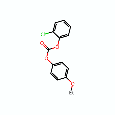 CCOc1ccc(OC(=O)Oc2ccccc2Cl)cc1